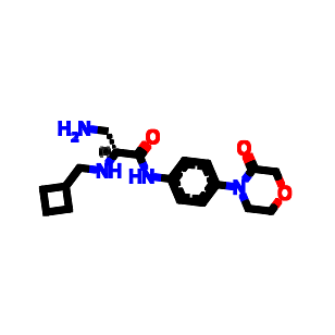 NC[C@@H](NCC1CCC1)C(=O)Nc1ccc(N2CCOCC2=O)cc1